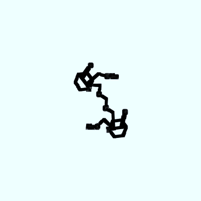 COC[C@@]1(COCOC[C@]2(COC)C(=O)C3CCN2CC3)C(=O)C2CCN1CC2